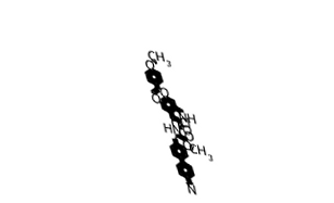 CCOc1ccc(C2COc3cc4c(cc3O2)CN[C@H](C(=O)N[C@@H](Cc2ccc(-c3ccc(C#N)cc3)cc2)C(=O)OC)C4)cc1.Cl